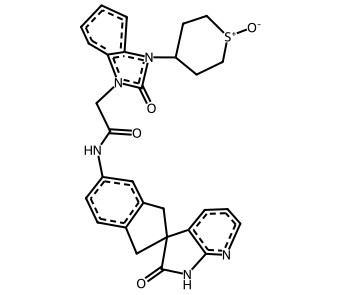 O=C(Cn1c(=O)n(C2CC[S+]([O-])CC2)c2ccccc21)Nc1ccc2c(c1)CC1(C2)C(=O)Nc2ncccc21